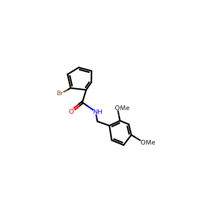 COc1ccc(CNC(=O)c2ccccc2Br)c(OC)c1